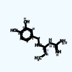 C/N=C(\NCc1ccc(O)c(O)c1)NC(=N)N